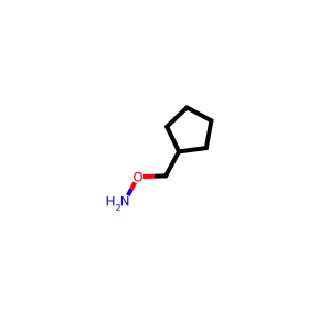 NOCC1CCCC1